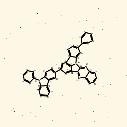 c1ccc(-c2ccc3c4cc(-c5ccc6c(c5)c5ccccc5n6-c5ccccc5)cc5c6nc7ccccc7nc6n(c3c2)c45)cc1